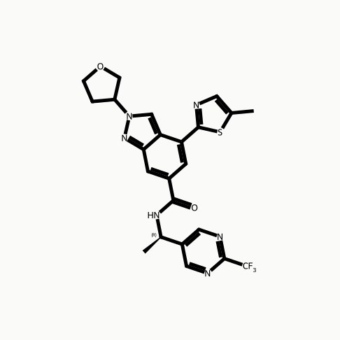 Cc1cnc(-c2cc(C(=O)N[C@H](C)c3cnc(C(F)(F)F)nc3)cc3nn(C4CCOC4)cc23)s1